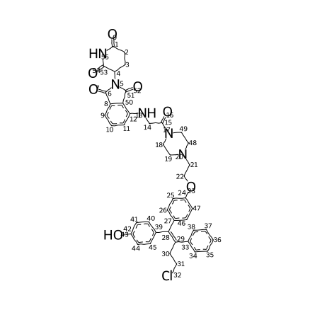 O=C1CCC(N2C(=O)c3cccc(NCC(=O)N4CCN(CCOc5ccc(C(=C(CCCl)c6ccccc6)c6ccc(O)cc6)cc5)CC4)c3C2=O)C(=O)N1